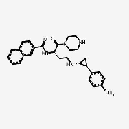 Cc1ccc([C@@H]2C[C@H]2NCC[C@H](NC(=O)c2ccc3ccccc3c2)C(=O)N2CCNCC2)cc1